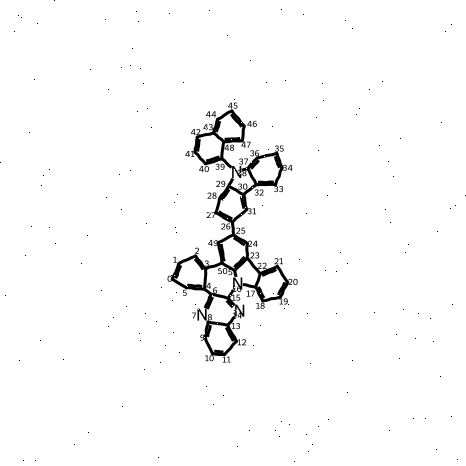 c1ccc2c(c1)-c1nc3ccccc3nc1-n1c3ccccc3c3cc(-c4ccc5c(c4)c4ccccc4n5-c4cccc5ccccc45)cc-2c31